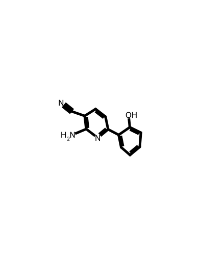 N#Cc1ccc(-c2ccccc2O)nc1N